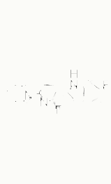 Fc1ccc2cc(-c3ccc(N4CCCCC4)nc3F)[nH]c2c1